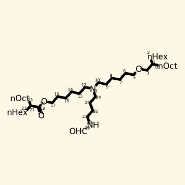 CCCCCCCCC(CCCCCC)COCCCCCCN(CCCCCCOC(=O)C(CCCCCC)CCCCCCCC)CCCCNC=O